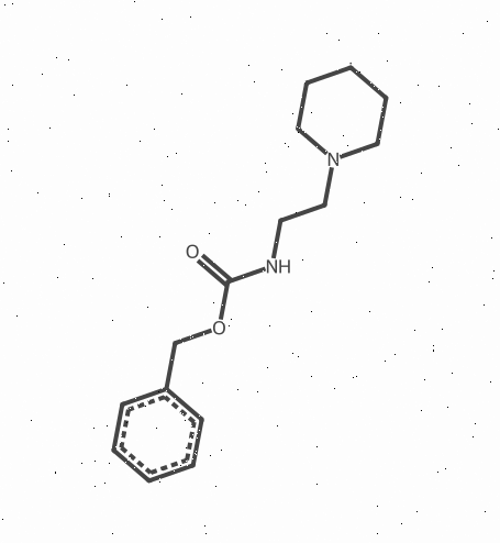 O=C(NCCN1CC[CH]CC1)OCc1ccccc1